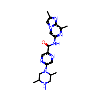 Cc1cn2cc(NC(=O)c3cnc(N4CC(C)NCC4C)cn3)nc(C)c2n1